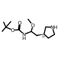 COC(C[C@@H]1CCNC1)NC(=O)OC(C)(C)C